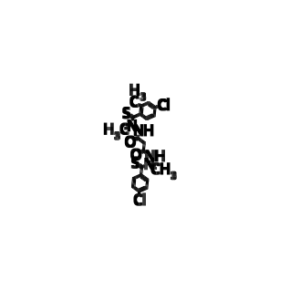 Cc1cc(Cl)ccc1C(=S)N(C)NC(=O)CC(=O)NN(C)C(=S)c1ccc(Cl)cc1